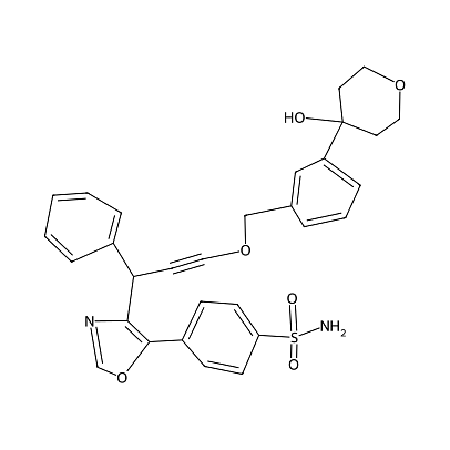 NS(=O)(=O)c1ccc(-c2ocnc2C(C#COCc2cccc(C3(O)CCOCC3)c2)c2ccccc2)cc1